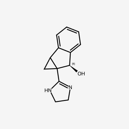 O[C@@H]1c2ccccc2C2CC21C1=NCCN1